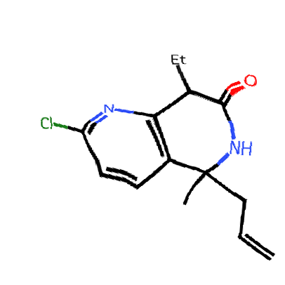 C=CCC1(C)NC(=O)C(CC)c2nc(Cl)ccc21